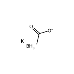 B.CC(=O)[O-].[K+]